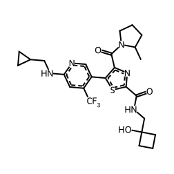 CC1CCCN1C(=O)c1nc(C(=O)NCC2(O)CCC2)sc1-c1cnc(NCC2CC2)cc1C(F)(F)F